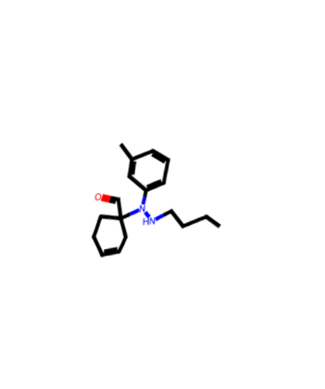 CCCCNN(c1cccc(C)c1)C1(C=O)CC=CCC1